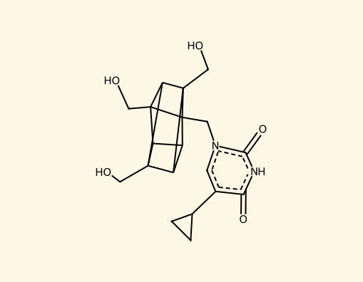 O=c1[nH]c(=O)n(CC23C4C5C6(CO)C4C2(CO)C6C53CO)cc1C1CC1